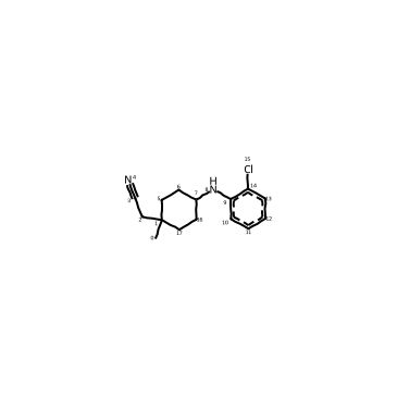 CC1(CC#N)CCC(Nc2ccccc2Cl)CC1